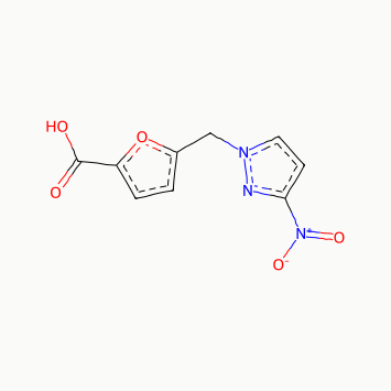 O=C(O)c1ccc(Cn2ccc([N+](=O)[O-])n2)o1